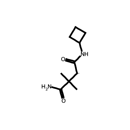 CC(C)([CH]C(=O)NC1CCC1)C(N)=O